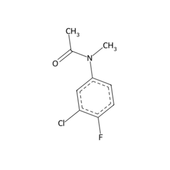 CC(=O)N(C)c1ccc(F)c(Cl)c1